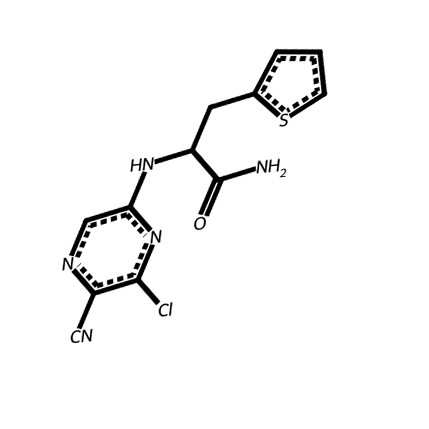 N#Cc1ncc(NC(Cc2cccs2)C(N)=O)nc1Cl